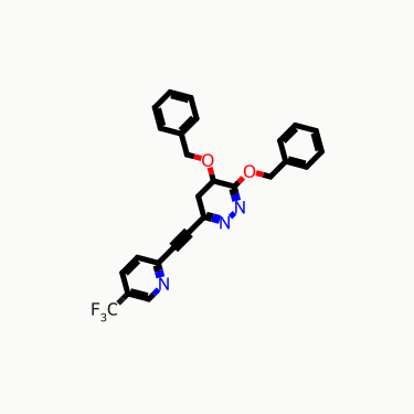 FC(F)(F)c1ccc(C#CC2=NN=C(OCc3ccccc3)C(OCc3ccccc3)C2)nc1